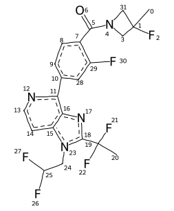 CC1(F)CN(C(=O)c2ccc(-c3nccc4c3nc(C(C)(F)F)n4CC(F)F)cc2F)C1